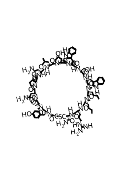 CCCC[C@H]1C(=O)N(C)[C@@H](CCCC)C(=O)N[C@@H](CCCNC(=N)N)C(=O)N[C@H](C(N)=O)CSCC(=O)N[C@@H](Cc2ccc(O)cc2)C(=O)N(C)[C@@H](C)C(=O)N[C@@H](CC(N)=O)C(=O)N2CCC[C@H]2C(=O)N[C@@H](CC(N)=O)C(=O)N[C@@H](CC(C)C)C(=O)N2C[C@H](O)C[C@H]2C(=O)N[C@@H]([C@@H](C)c2c[nH]c3ccccc23)C(=O)N[C@@H](CO)C(=O)N[C@@H](Cc2c[nH]c3ccccc23)C(=O)N1C